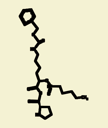 CCCCC[PH](=O)OC(CCCCNC(=O)OCc1ccccc1)C(=O)OC(=O)[C@@H]1CCCN1